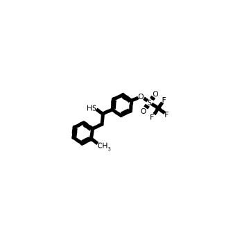 Cc1ccccc1CC(S)c1ccc(OS(=O)(=O)C(F)(F)F)cc1